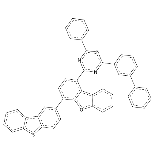 c1ccc(-c2cccc(-c3nc(-c4ccccc4)nc(-c4ccc(-c5ccc6sc7ccccc7c6c5)c5oc6ccccc6c45)n3)c2)cc1